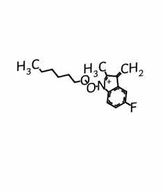 C=C1C(C)=[N+](OOCCCCCC)c2ccc(F)cc21